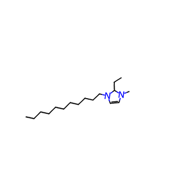 CCCCCCCCCCCN1C=CN(C)C1CC